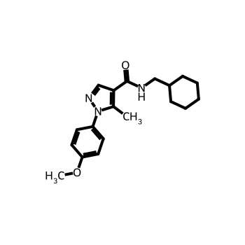 COc1ccc(-n2ncc(C(=O)NCC3CCCCC3)c2C)cc1